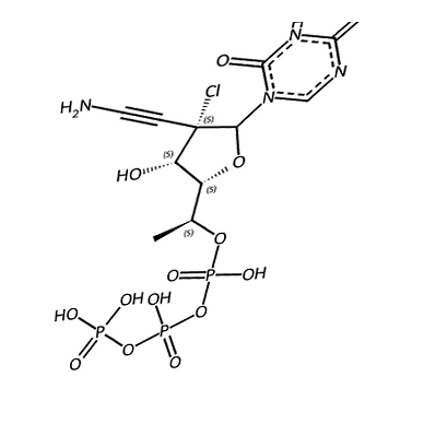 C[C@H](OP(=O)(O)OP(=O)(O)OP(=O)(O)O)[C@H]1OC(n2cnc(=O)[nH]c2=O)[C@](Cl)(C#CN)[C@H]1O